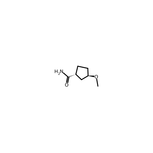 CO[C@@H]1CC[C@@H](C(N)=O)C1